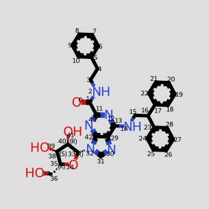 O=C(NCCc1ccccc1)c1nc(NCC(c2ccccc2)c2ccccc2)c2ncn([C@@H]3O[C@H](CO)[C@@H](O)[C@H]3O)c2n1